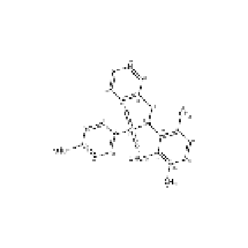 COc1ccc(S(=O)(=O)N(Cc2cccnc2)c2c(C)ccc(C)c2C=O)cc1